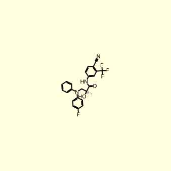 C[C@](O)(CN(c1ccccc1)c1ccc(F)cc1)C(=O)Nc1ccc(C#N)c(C(F)(F)F)c1